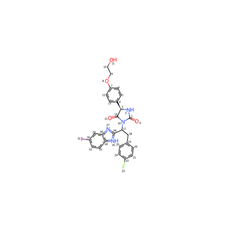 O=C1N[C@H](c2ccc(OCCO)cc2)C(=O)N1C(Cc1ccc(F)cc1)c1nc2cc(I)ccc2[nH]1